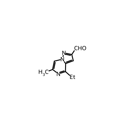 CCc1nc(C)cn2nc(C=O)cc12